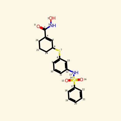 O=C(NO)C1=CC(Sc2cccc(NS(=O)(=O)c3ccccc3)c2)CCC1